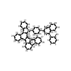 Cc1ccccc1-c1nc(-c2ccc(-n3c4ccccc4c4c5ccccc5c5c6cccc7c8ccccc8n(c76)c5c43)cc2)nc2ccccc12